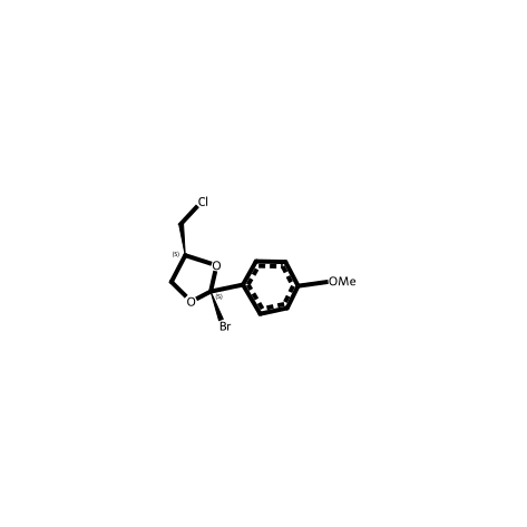 COc1ccc([C@]2(Br)OC[C@@H](CCl)O2)cc1